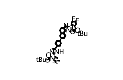 CC(C)(C)OC(=O)N1C[Si](C)(C)C[C@H]1c1ncc(-c2ccc(-c3ccc4c(ccc5nc([C@@H]6CC(F)(F)CN6C(=O)OC(C)(C)C)[nH]c54)c3)cc2)[nH]1